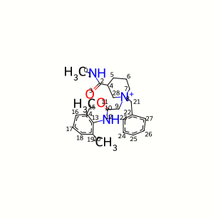 CNC(=O)C1CCC[N+](CC(=O)Nc2c(C)cccc2C)(Cc2ccccc2)C1